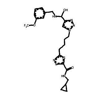 O=C(NCC1CC1)c1nnc(CCCCn2cc(C(O)NCc3cccc(OC(F)(F)F)c3)nn2)s1